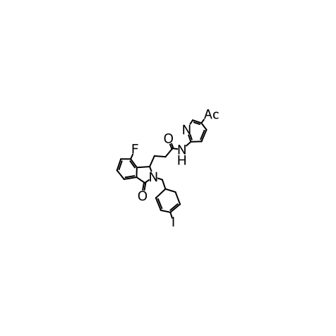 CC(=O)c1ccc(NC(=O)CCC2c3c(F)cccc3C(=O)N2CC2C=CC(I)=CC2)nc1